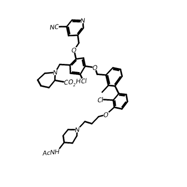 CC(=O)NC1CCN(CCCOc2cccc(-c3cccc(COc4cc(OCc5cncc(C#N)c5)c(CN5CCCCC5C(=O)O)cc4Cl)c3C)c2Cl)CC1